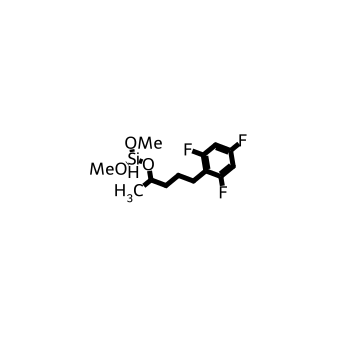 CO[SiH](OC)OC(C)CCCc1c(F)cc(F)cc1F